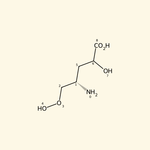 N[C@H](COO)CC(O)C(=O)O